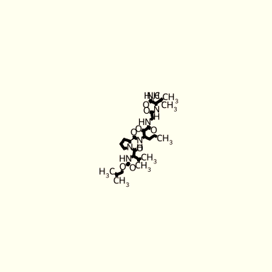 CCCC(NC(=O)[C@@H]1CCCN1C(=O)C(NC(=O)OCC(C)C)C(C)C)C(=O)C(=O)NCC(=O)NC(C(N)=O)C(C)(C)C